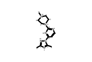 Cc1nc(C)n(-c2ccnc(N3CCN(C)CC3)n2)n1